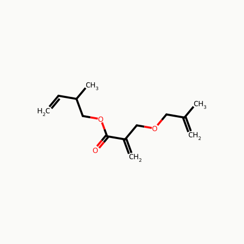 C=CC(C)COC(=O)C(=C)COCC(=C)C